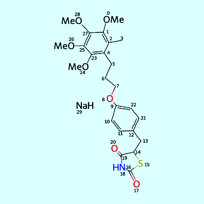 COc1c(C)c(CCCOc2ccc(CC3SC(=O)NC3=O)cc2)c(OC)c(OC)c1OC.[NaH]